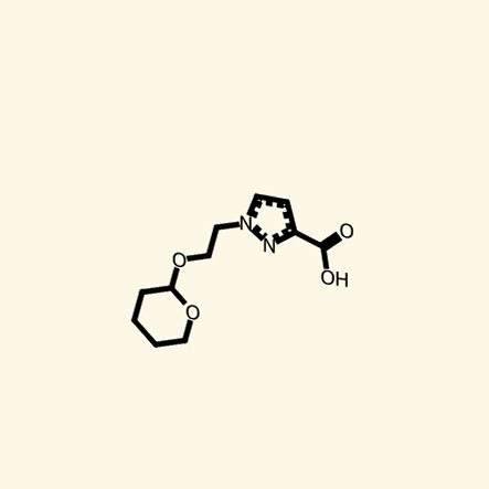 O=C(O)c1ccn(CCOC2CCCCO2)n1